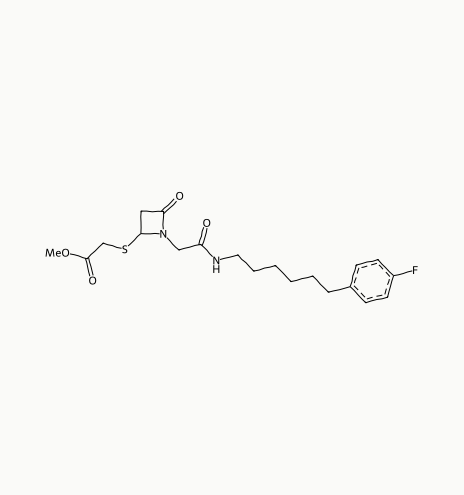 COC(=O)CSC1CC(=O)N1CC(=O)NCCCCCCc1ccc(F)cc1